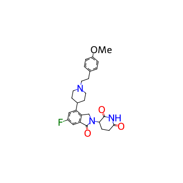 COc1ccc(CCN2CCC(c3cc(F)cc4c3CN(C3CCC(=O)NC3=O)C4=O)CC2)cc1